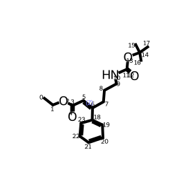 CCOC(=O)/C=C(/CCCNC(=O)OC(C)(C)C)c1ccccc1